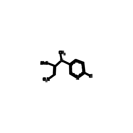 CSC(=C[N+](=O)[O-])N(C)c1ccc(Cl)nc1